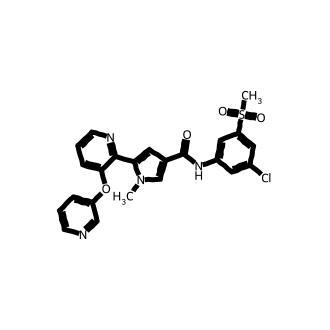 Cn1cc(C(=O)Nc2cc(Cl)cc(S(C)(=O)=O)c2)cc1-c1ncccc1Oc1cccnc1